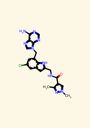 Cc1nn(C)cc1C(=O)NCc1cc2cc(Cl)cc(Cn3cnc4c(N)ncnc43)c2[nH]1